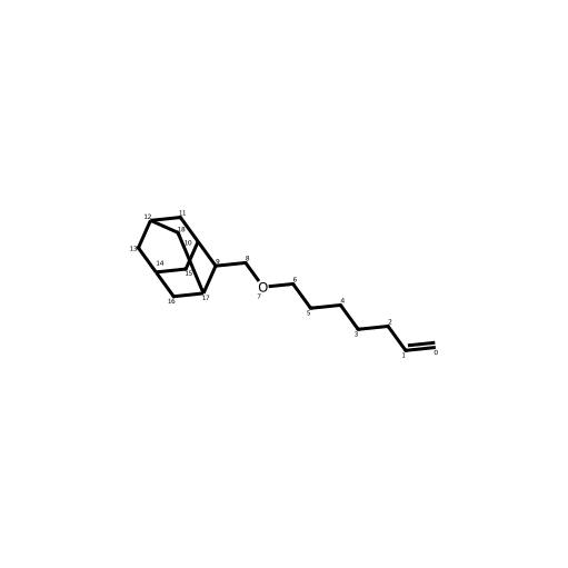 C=CCCCCCOCC1C2CC3CC(C2)CC1C3